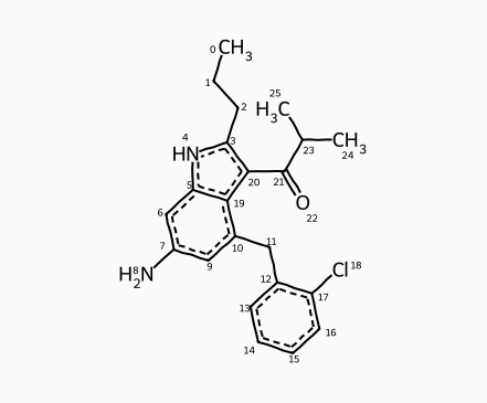 CCCc1[nH]c2cc(N)cc(Cc3ccccc3Cl)c2c1C(=O)C(C)C